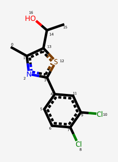 Cc1nc(-c2ccc(Cl)c(Cl)c2)sc1C(C)O